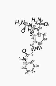 CN(C(=O)Cn1cc2c(n1)CCc1c-2sc(NC(N)=O)c1C(N)=O)c1ccccc1